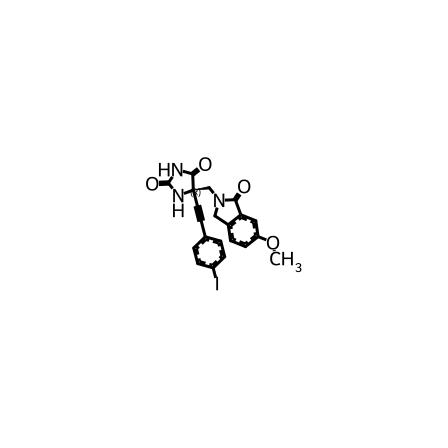 COc1ccc2c(c1)C(=O)N(C[C@@]1(C#Cc3ccc(I)cc3)NC(=O)NC1=O)C2